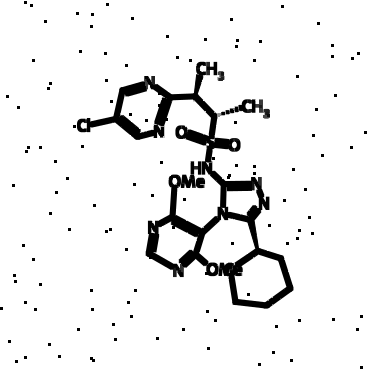 COc1ncnc(OC)c1-n1c(NS(=O)(=O)[C@@H](C)[C@H](C)c2ncc(Cl)cn2)nnc1[C@H]1CCCCO1